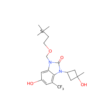 CC1(O)CC(n2c(=O)n(COCC[Si](C)(C)C)c3cc(O)cc(C(F)(F)F)c32)C1